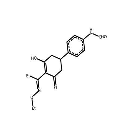 CCON=C(CC)C1=C(O)CC(c2ccc(NC=O)cc2)CC1=O